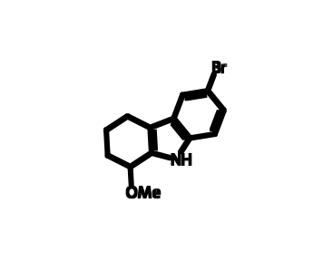 COC1CCCc2c1[nH]c1ccc(Br)cc21